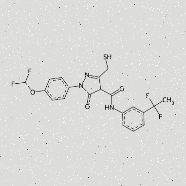 CC(F)(F)c1cccc(NC(=O)C2C(=O)N(c3ccc(OC(F)F)cc3)N=C2CS)c1